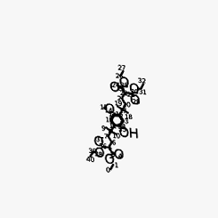 CCOC(=O)C(CCC(C)(C)c1cc(OC)c(C(C)(C)CCC(C(=O)OCC)C(=O)OCC)cc1O)C(=O)OCC